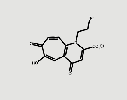 CCOC(=O)c1cc(=O)c2cc(O)c(=O)ccc2n1CCC(C)C